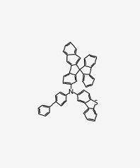 c1ccc(-c2ccc(N(c3ccc4c(c3)C3(c5ccccc5-c5ccccc53)c3cc5ccccc5cc3-4)c3ccc4sc5ccccc5c4c3)cc2)cc1